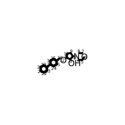 O[C@H]1[C@H](N2CCOCC2)CC[C@H]1OCc1ccc(-c2ccccc2)cc1